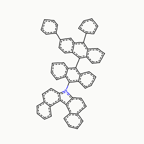 c1ccc(-c2ccc3c(-c4c5ccccc5c(-n5c6ccc7ccccc7c6c6c7ccccc7ccc65)c5ccccc45)c4ccccc4c(-c4ccccc4)c3c2)cc1